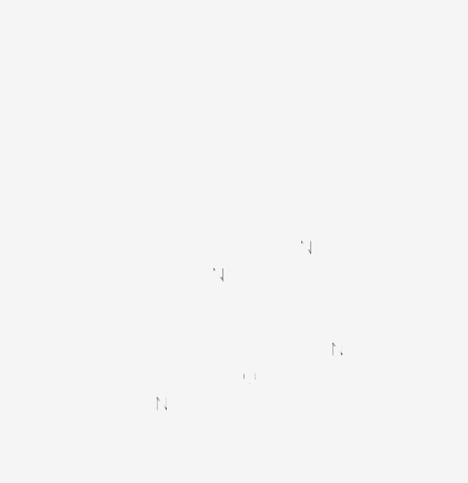 Cc1cc(C)c(N2c3cccnc3Oc3nccnc32)c(C)c1